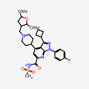 COC1CC(CN2CCC(c3cc(C(=O)NS(C)(=O)=O)nc4c3c(C3CCC3)nn4-c3ccc(F)cc3)CC2)C(OC)O1